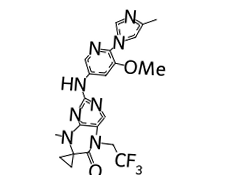 COc1cc(Nc2ncc3c(n2)N(C)C2(CC2)C(=O)N3CC(F)(F)F)cnc1-n1cnc(C)c1